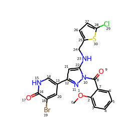 COc1ccccc1C(=O)n1nc(-c2c[nH]c(=O)c(Br)c2)cc1NCc1ccc(Cl)s1